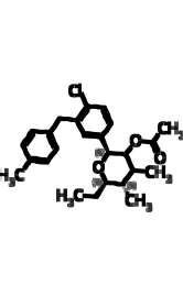 CC[C@H]1O[C@@H](c2ccc(Cl)c(Cc3ccc(C)cc3)c2)C(OC(C)=O)C(C)[C@@H]1C